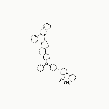 CC1(C)c2ccccc2-c2ccc(-c3ccc(N(c4ccccc4)c4ccc5c(ccc6cc(-c7cc8ccccc8cc7-c7ccccc7)ccc65)c4)cc3)cc21